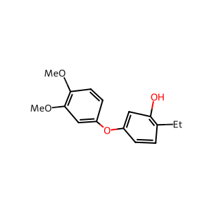 CCc1ccc(Oc2ccc(OC)c(OC)c2)cc1O